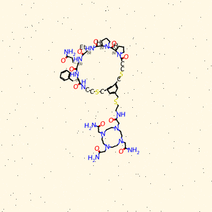 CC[C@@H]1NC(=O)[C@@H]2CCCN2C(=O)[C@@H]2CCCN2C(=O)CCSCc2cc(CSCCNC(=O)CN3CCN(CC(N)=O)CCN(CC(N)=O)CCN(CC(N)=O)CC3)cc(c2)CSCCNC(=O)[C@H](Cc2ccccc2)NC(=O)[C@H](CCC(N)=O)NC1=O